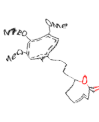 COc1cc(CCC2CC=CC(=O)O2)cc(OC)c1OC